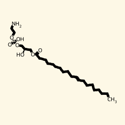 CCCCCCCC/C=C/CCCCCCCCCC(=O)OC[C@@H](O)COP(=O)(O)OCCN